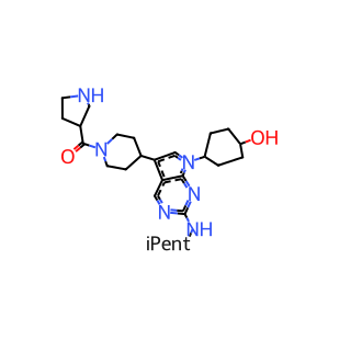 CCCC(C)Nc1ncc2c(C3CCN(C(=O)C4CCNC4)CC3)cn(C3CCC(O)CC3)c2n1